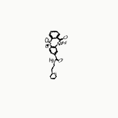 O=C(NCCc1ccccn1)c1ccc2c(c1)NC(=O)c1ccccc1S2(=O)=O